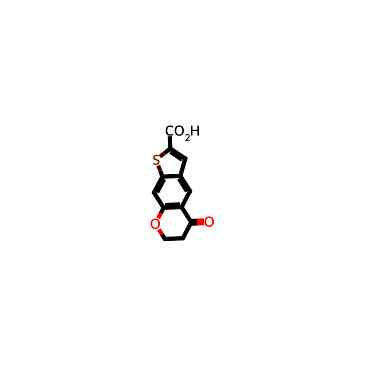 O=C(O)c1cc2cc3c(cc2s1)OCCC3=O